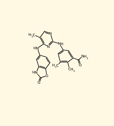 Cc1cnc(Nc2cc(C)c(C)c(C(N)=O)c2)nc1Nc1ccc2oc(=O)[nH]c2c1